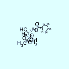 CC1(C)O[C@@H]2[C@@H](O)[C@@H](COC(=O)c3ccccc3)OC21O